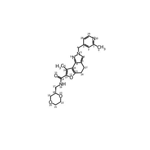 Cc1cc(Cn2cc3c(n2)-c2c(oc(C(=O)NC[C@@H]4COCCO4)c2C)CC3)ccn1